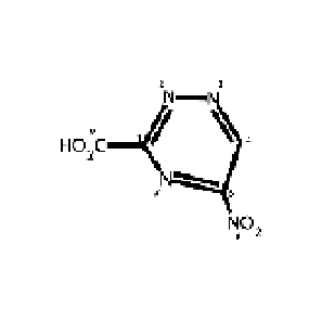 O=C(O)c1nncc([N+](=O)[O-])n1